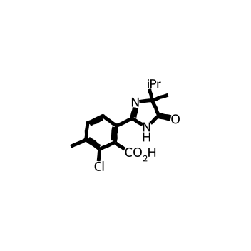 Cc1ccc(C2=NC(C)(C(C)C)C(=O)N2)c(C(=O)O)c1Cl